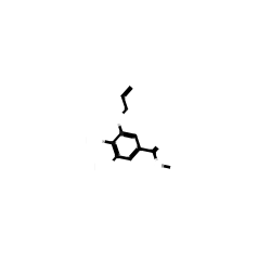 C=CCOc1cc(C(=O)OC)cc(O)c1O